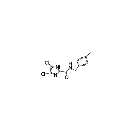 Cc1ccc(CNC(=O)c2nc(Cl)c(Cl)[nH]2)cc1